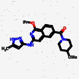 COC1CCN(C(=O)c2ccc3c(OC(C)C)nc(Nc4cc(C)[nH]n4)cc3c2)CC1